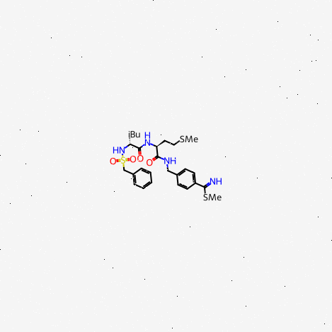 CCC(C)[C@@H](NS(=O)(=O)Cc1ccccc1)C(=O)N[C@@H](CCSC)C(=O)NCc1ccc(C(=N)SC)cc1